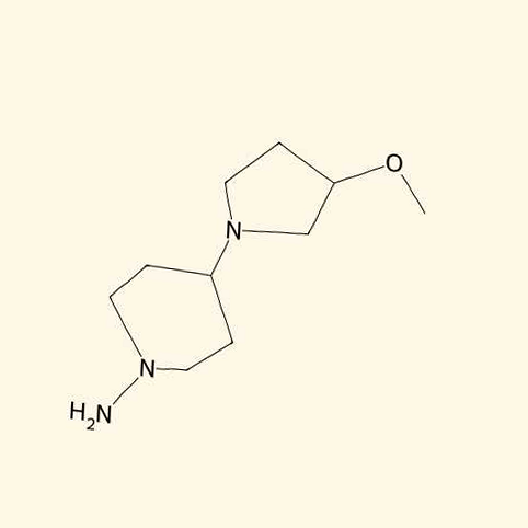 COC1CCN(C2CCN(N)CC2)C1